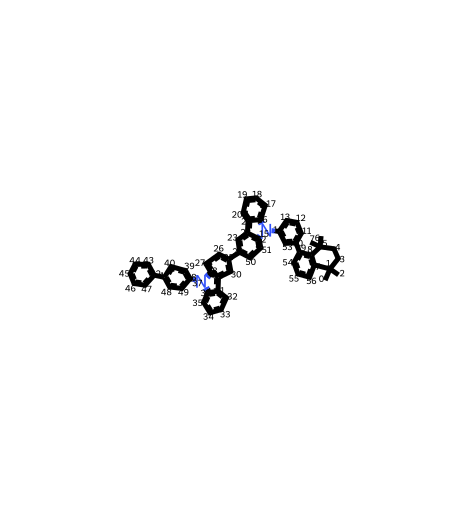 CC1(C)CCC(C)(C)c2c(-c3cccc(-n4c5ccccc5c5cc(-c6ccc7c(c6)c6ccccc6n7-c6ccc(-c7ccccc7)cc6)ccc54)c3)cccc21